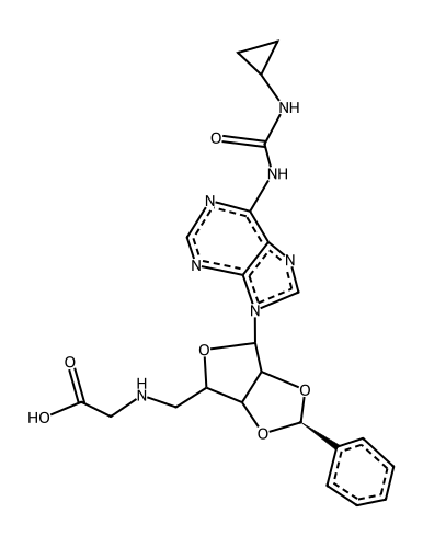 O=C(O)CNCC1OC(n2cnc3c(NC(=O)NC4CC4)ncnc32)C2O[C@@H](c3ccccc3)OC12